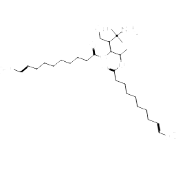 CCCCCCCCC=CCCCCCCCC(=O)OC(C)C(OC(=O)CCCCCCCC=CCCCCCCCC)C(CO)C(C)(C)N